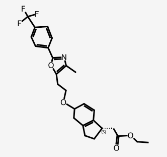 CCOC(=O)C[C@@H]1CCC2=C1C=CC(OCCc1oc(-c3ccc(C(F)(F)F)cc3)nc1C)C2